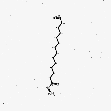 C=NC(=O)CCCCCCCCCCCCCCCCCCCCC